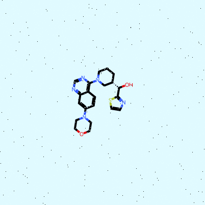 OC(c1nccs1)[C@H]1CCCN(c2ncnc3cc(N4CCOCC4)ccc23)C1